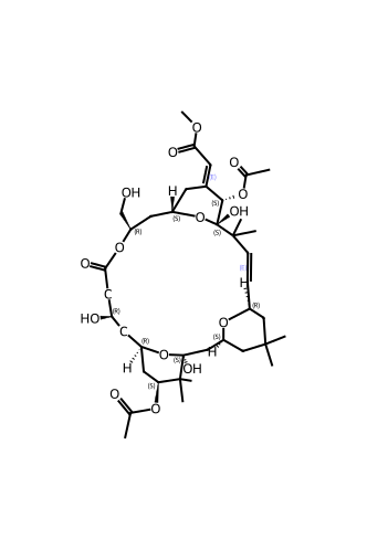 COC(=O)/C=C1\C[C@H]2C[C@H](CO)OC(=O)C[C@H](O)C[C@@H]3C[C@H](OC(C)=O)C(C)(C)[C@](O)(C[C@@H]4CC(C)(C)C[C@H](/C=C/C(C)(C)[C@](O)(O2)[C@H]1OC(C)=O)O4)O3